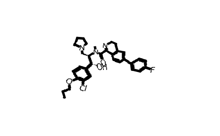 CCCOc1ccc([C@@H](O)[C@@H](CN2CCCC2)N(C)C(=O)C2=NCCc3cc(-c4ccc(F)cc4)ccc32)cc1Cl